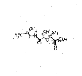 CC(O)CNC(=O)C(S)OC(S)C(=O)O